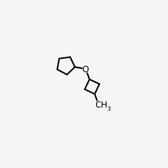 CC1CC(OC2CCCC2)C1